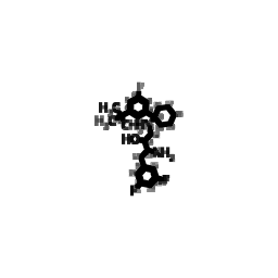 CC(C)(C)c1cc(I)cc(C2(NCC(O)C(N)Cc3cc(F)cc(F)c3)CCCCC2)c1